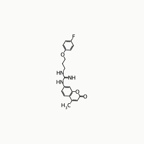 Cc1cc(=O)oc2cc(NC(=N)NCCCOc3ccc(F)cc3)ccc12